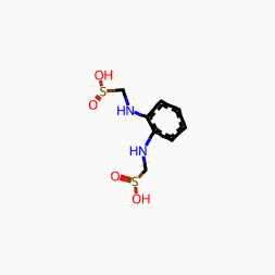 O=S(O)CNc1ccccc1NCS(=O)O